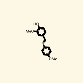 COc1ccc(N=Cc2ccc(O)c(OC)c2)cc1